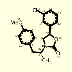 COc1ccc(C[C@@H](C)N2CC(c3cccc(Cl)c3)OC2=O)cc1